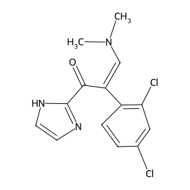 CN(C)C=C(C(=O)c1ncc[nH]1)c1ccc(Cl)cc1Cl